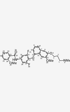 CNCCCOc1cc2nccc(Oc3c(F)cc(NC(=O)c4cnccc4OC)cc3F)c2cc1OC